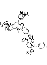 CC(C)Oc1ccc(C(=O)Nc2ccc(Oc3cc4cnn(C)c4cc3-c3cn[nH]c3)c(F)c2)c(=O)n1-c1ccc(F)cc1